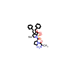 C[C@H](N)C(=O)N1CCC[C@H]1C(=O)N1CCC(CCc2ccccc2)(CCc2ccccc2)[C@@]1([PH2]=O)C(=O)[O-].[Na+]